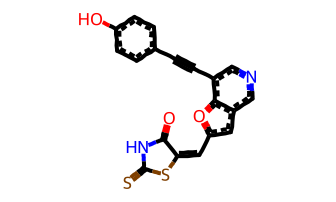 O=C1NC(=S)SC1=Cc1cc2cncc(C#Cc3ccc(O)cc3)c2o1